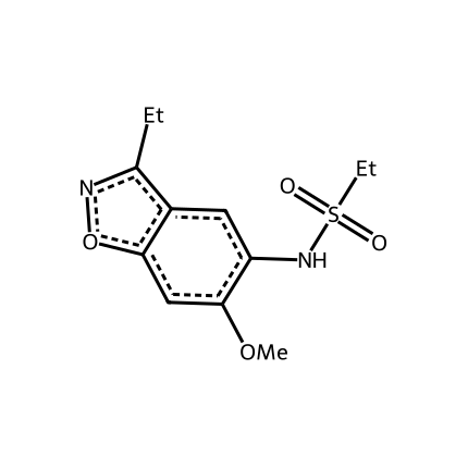 CCc1noc2cc(OC)c(NS(=O)(=O)CC)cc12